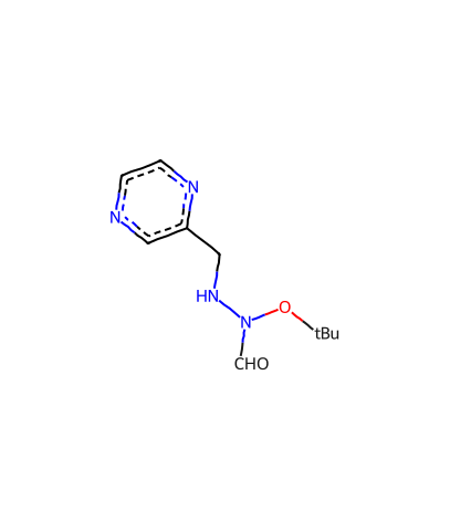 CC(C)(C)ON(C=O)NCc1cnccn1